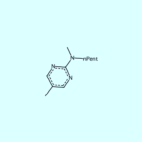 CCCCCN(C)c1ncc(C)cn1